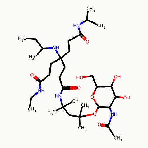 CCNC(=O)CCC(CCC(=O)NC(C)C)(CCC(=O)NC(C)(C)CC(C)(C)OC1OC(CO)C(O)C(O)C1NC(C)=O)NC(C)CC